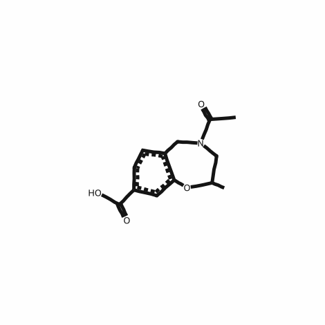 CC(=O)N1Cc2ccc(C(=O)O)cc2OC(C)C1